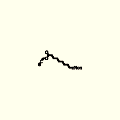 CCCCCCCCCCCCCCCCCC(=O)OC=C=O